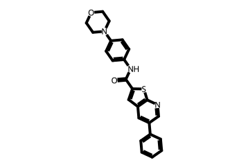 O=C(Nc1ccc(N2CCOCC2)cc1)c1cc2cc(-c3ccccc3)cnc2s1